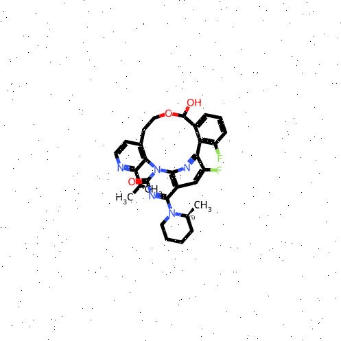 CC(C)c1nccc2c1-n1c(=O)nc(N3CCCC[C@@H]3C)c3cc(F)c(nc31)-c1c(F)cccc1C(O)OCC2